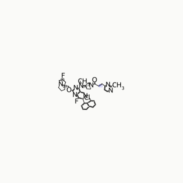 Cc1nccc(/C=C/C(=O)N2CC[C@@H](N(C)c3nc(OC[C@@]45CCCN4C[C@H](F)C5)nc4c(F)c(-c5cccc6cccc(Cl)c56)ncc34)C2)n1